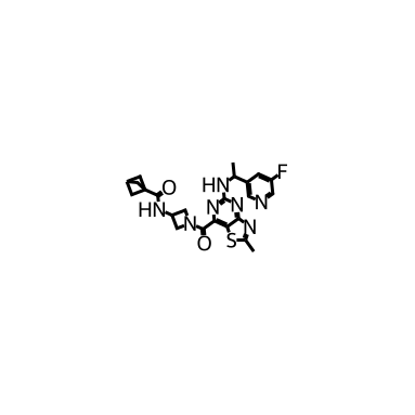 Cc1nc2nc(NC(C)c3cncc(F)c3)nc(C(=O)N3CC(NC(=O)C45CC(C4)C5)C3)c2s1